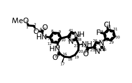 COCCOC(=O)Nc1ccc2c(c1)NC(=O)[C@H](C)CCC[C@H](NC(=O)c1cn(-c3cccc(Cl)c3F)nn1)c1nc-2c[nH]1